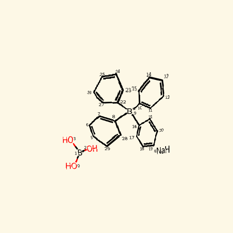 OB(O)O.[NaH].c1ccc([B-](c2ccccc2)(c2ccccc2)c2ccccc2)cc1